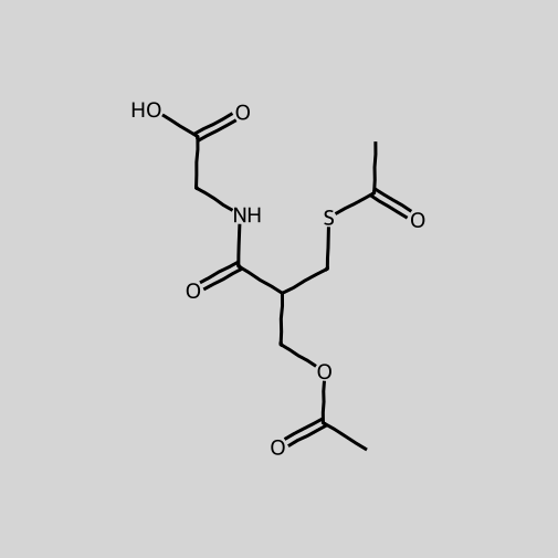 CC(=O)OCC(CSC(C)=O)C(=O)NCC(=O)O